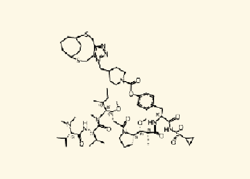 CC[C@H](C)[C@@H]([C@@H](CC(=O)N1CCC[C@H]1[C@H](OC)[C@@H](C)C(=O)N[C@@H](Cc1ccc(OC(=O)N2CCC(Cn3nnc4c3CSC3CCCC(CC3)SC4)CC2)cc1)C(=O)NS(=O)(=O)C1CC1)OC)N(C)C(=O)[C@@H](NC(=O)[C@H](C(C)C)N(C)C)C(C)C